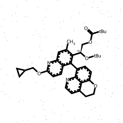 Cc1cc2nc(OCC3CC3)ccc2c(-c2ccc3c4c(ccnc24)CCO3)c1[C@@H](COC(=O)C(C)(C)C)OC(C)(C)C